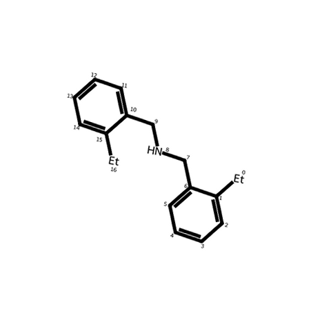 CCc1ccccc1CNCc1ccccc1CC